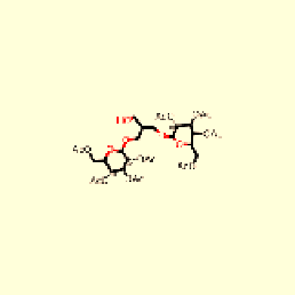 CC(=O)OCC1OC(OCC(CO)COC2OC(COC(C)=O)[C@@H](OC(C)=O)C(OC(C)=O)[C@H]2OC(C)=O)[C@H](OC(C)=O)C(OC(C)=O)C1OC(C)=O